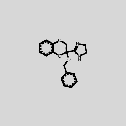 c1ccc(COC2(C3=NCCN3)COc3ccccc3O2)cc1